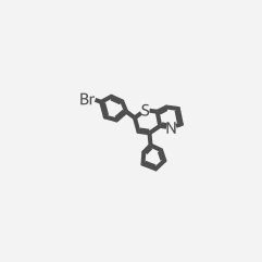 Brc1ccc(C2C=C(c3ccccc3)c3ncccc3S2)cc1